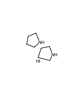 C1CCNC1.C1CCNC1.I